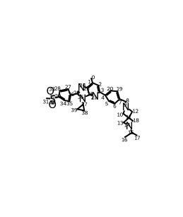 Cc1cc(-c2ccc(CN3CC4(C3)CN(C(C)C)C4)cc2)nc2c1nc(-c1ccc(S(C)(=O)=O)cc1)n2C1CC1